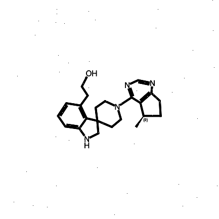 C[C@@H]1CCc2ncnc(N3CCC4(CC3)CNc3cccc(CCO)c34)c21